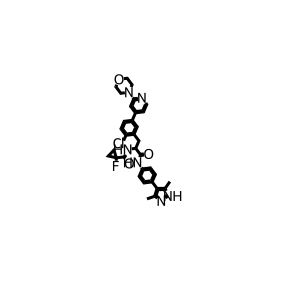 Cc1n[nH]c(C)c1-c1ccc(NC(=O)C(Cc2cc(-c3ccnc(N4CCOCC4)c3)ccc2Cl)NC(=O)C2(F)CC2)cc1